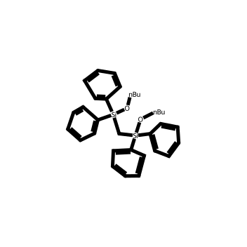 CCCCO[Si](C[Si](OCCCC)(c1ccccc1)c1ccccc1)(c1ccccc1)c1ccccc1